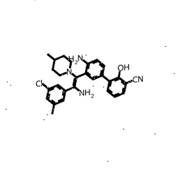 Cc1cc(Cl)cc(/C(N)=C(/c2cc(-c3cccc(C#N)c3O)ccc2N)N2CCC(C)CC2)c1